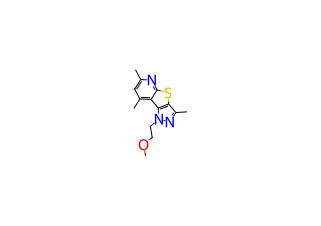 COCCn1nc(C)c2sc3nc(C)cc(C)c3c21